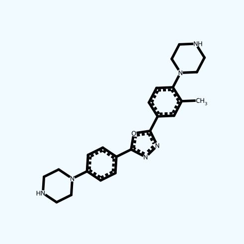 Cc1cc(-c2nnc(-c3ccc(N4CCNCC4)cc3)o2)ccc1N1CCNCC1